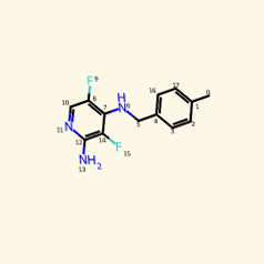 Cc1ccc(CNc2c(F)cnc(N)c2F)cc1